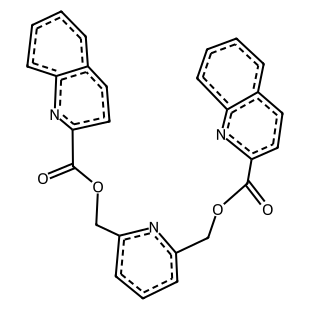 O=C(OCc1cccc(COC(=O)c2ccc3ccccc3n2)n1)c1ccc2ccccc2n1